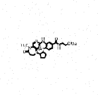 COCCNC(=O)c1ccc(OC)c(Nc2ncc3c(n2)N(C2CCCC2)CCC(=O)N3C)c1